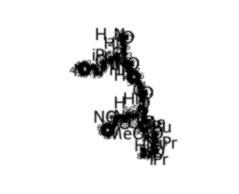 CC[C@H](C)[C@@H]([C@@H](CC(=O)N1C[C@H](ONC(=O)OCc2ccc(NC(=O)[C@@H](CCCNC(N)=O)NC(=O)[C@H](NC(=O)CN(C)CC3CCN(C)CC3)C(C)C)cc2)C[C@H]1[C@H](OC)[C@@H](C)C(=O)N[C@H](C#N)Cc1ccccc1)OC)N(C)C(=O)[C@@H](NC(=O)[C@H](C(C)C)N(C)C)C(C)C